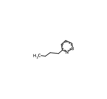 CCCCc1cccbn1